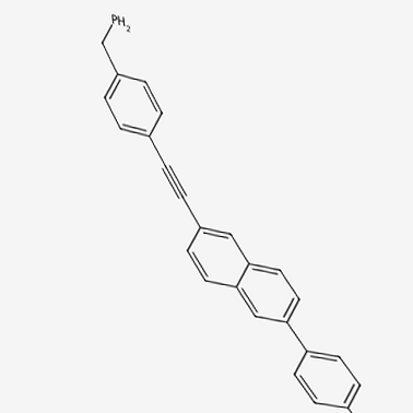 PCc1ccc(C#Cc2ccc3cc(-c4ccc(P)cc4)ccc3c2)cc1